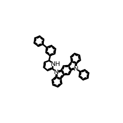 C1=CC(c2cccc(-c3ccccc3)c2)NC(n2c3ccccc3c3cc4c(cc32)c2ccccc2n4-c2ccccc2)=C1